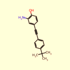 CC(C)(C)c1ccc(C#Cc2ccc(O)c(N)c2)cc1